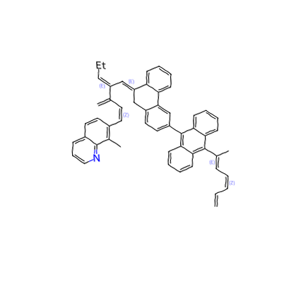 C=C/C=C\C=C(/C)c1c2ccccc2c(-c2ccc3c(c2)-c2ccccc2/C(=C/C(=C\CC)C(=C)/C=C\c2ccc4cccnc4c2C)C3)c2ccccc12